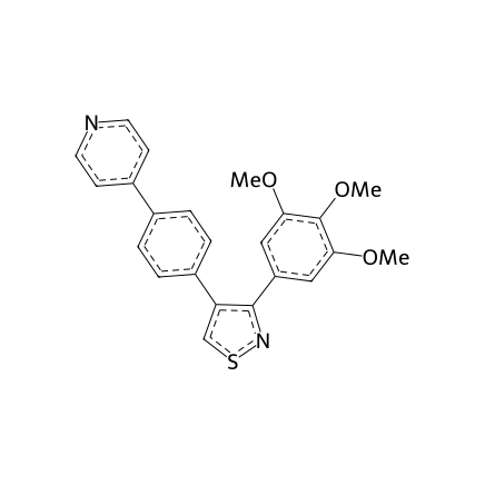 COc1cc(-c2nscc2-c2ccc(-c3ccncc3)cc2)cc(OC)c1OC